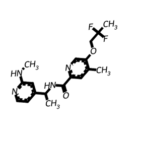 CNc1cc(C(C)NC(=O)c2cc(C)c(OCC(C)(F)F)cn2)ccn1